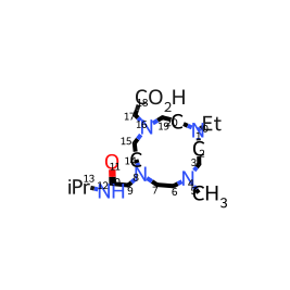 CCN1CCN(C)CCN(CC(=O)NC(C)C)CCN(CC(=O)O)CC1